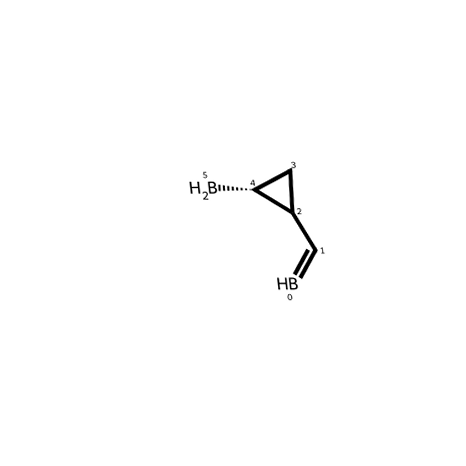 B=CC1C[C@H]1B